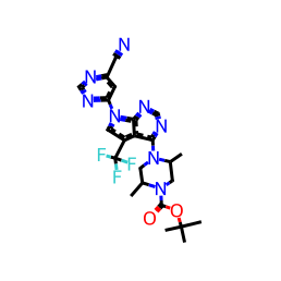 CC1CN(c2ncnc3c2c(C(F)(F)F)cn3-c2cc(C#N)ncn2)C(C)CN1C(=O)OC(C)(C)C